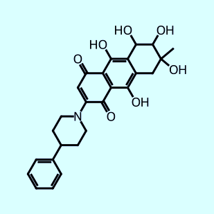 CC1(O)Cc2c(O)c3c(c(O)c2C(O)C1O)C(=O)C=C(N1CCC(c2ccccc2)CC1)C3=O